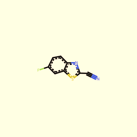 N#Cc1nc2ccc(F)cc2s1